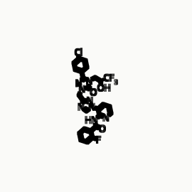 O=C(Nc1ncccc1-n1cnc(Cn2nc(-c3ccc(Cl)cc3)n(C[C@H](O)C(F)(F)F)c2=O)n1)c1ccccc1F